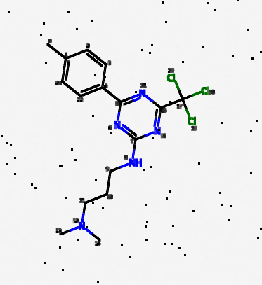 Cc1ccc(-c2nc(NCCCN(C)C)nc(C(Cl)(Cl)Cl)n2)cc1